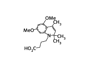 COc1cc(OC)c2c(c1)N(CCCC(=O)O)C(C)(C)C=C2C